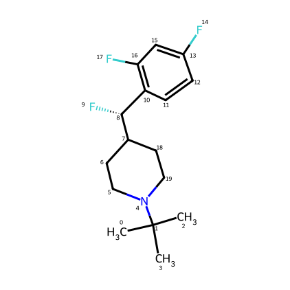 CC(C)(C)N1CCC([C@H](F)c2ccc(F)cc2F)CC1